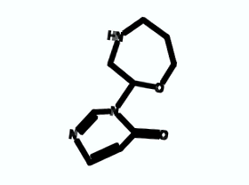 O=c1ccncn1C1CNCCCO1